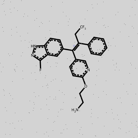 NCCOc1ccc(/C(=C(/CC(F)(F)F)c2ccccc2)c2ccc3[nH]nc(F)c3c2)cn1